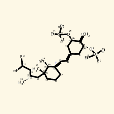 C=C1[C@H](O[Si](CC)(CC)CC)CC(=C/C=C2\CCC[C@](C)(C[C@H](C)CC(F)F)[C@H]2CCC)C[C@H]1O[Si](CC)(CC)CC